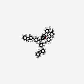 Fc1ccc2c(c1)C1(c3cc(F)ccc3-2)c2cc(F)ccc2-c2ccc(F)c(-c3cccc(N(c4ccc(-c5ccc6c(c5)oc5ccccc56)cc4)c4ccc(-c5cccc6c5oc5ccccc56)cc4)c3)c21